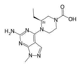 CC[C@H]1CN(C(=O)O)CCN1c1nc(N)nc2c1cnn2C